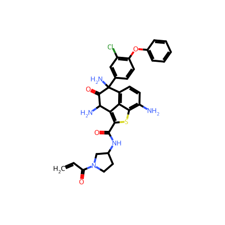 C=CC(=O)N1CCC(NC(=O)c2sc3c(N)ccc4c3c2C(N)C(=O)C4(N)c2ccc(Oc3ccccc3)c(Cl)c2)C1